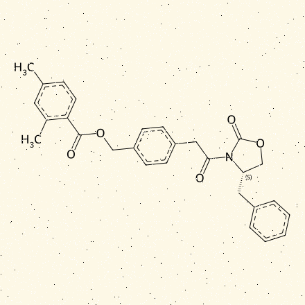 Cc1ccc(C(=O)OCc2ccc(CC(=O)N3C(=O)OC[C@@H]3Cc3ccccc3)cc2)c(C)c1